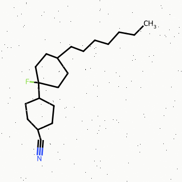 CCCCCCCC1CCC(F)(C2CCC(C#N)CC2)CC1